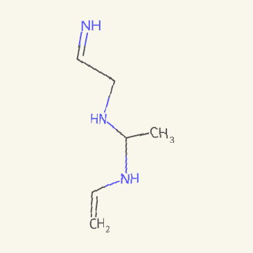 C=CNC(C)NCC=N